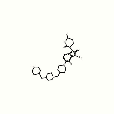 Cn1c(=O)n(C2CCC(=O)NC2=O)c2ccc(N3CCC(CN4CCC(CC5CCNCC5)CC4)CC3)c(F)c21